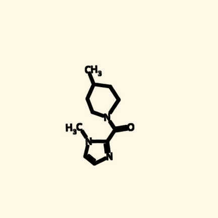 CC1CCN(C(=O)c2nccn2C)CC1